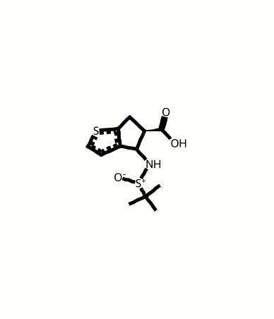 CC(C)(C)[S+]([O-])NC1c2ccsc2C[C@H]1C(=O)O